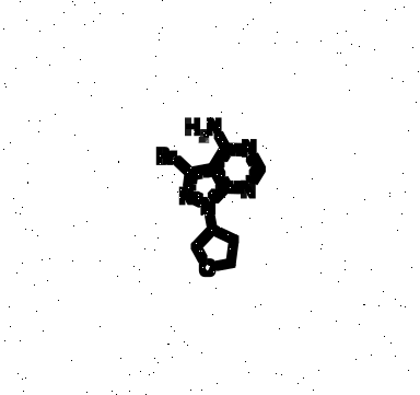 Nc1ncnc2c1c(Br)nn2C1CCOC1